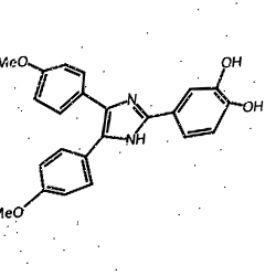 COc1ccc(-c2nc(-c3ccc(O)c(O)c3)[nH]c2-c2ccc(OC)cc2)cc1